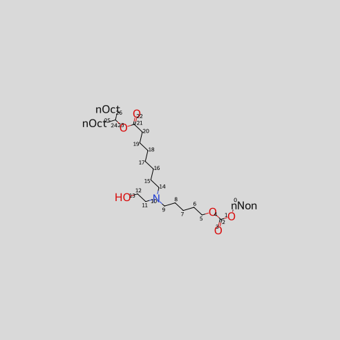 CCCCCCCCCOC(=O)OCCCCCN(CCO)CCCCCCCC(=O)OC(CCCCCCCC)CCCCCCCC